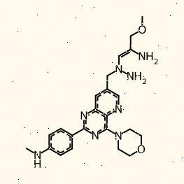 CNc1ccc(-c2nc(N3CCOCC3)c3ncc(CN(N)/C=C(\N)COC)cc3n2)cc1